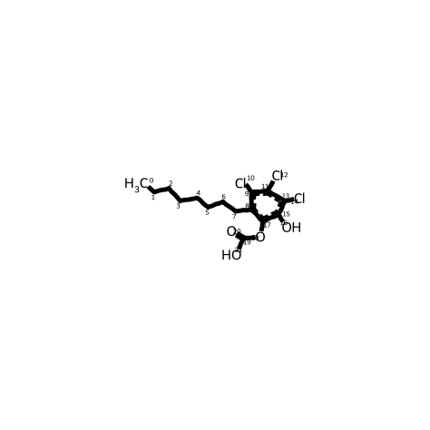 CCCCCCCCc1c(Cl)c(Cl)c(Cl)c(O)c1OC(=O)O